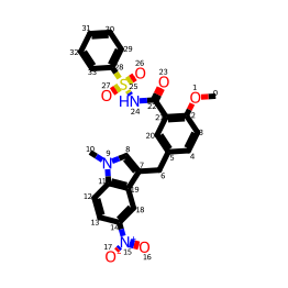 COc1ccc(Cc2cn(C)c3ccc([N+](=O)[O-])cc23)cc1C(=O)NS(=O)(=O)c1ccccc1